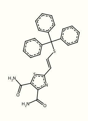 NC(=O)c1nc(C=CSC(c2ccccc2)(c2ccccc2)c2ccccc2)sc1C(N)=O